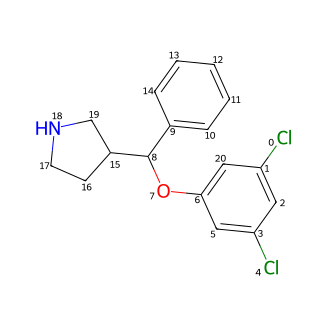 Clc1cc(Cl)cc(OC(c2ccccc2)C2CCNC2)c1